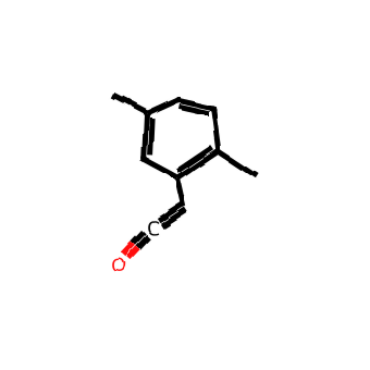 Cc1ccc(C)c(C=C=O)c1